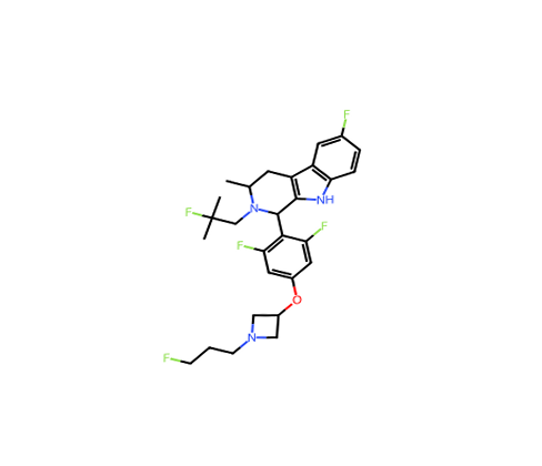 CC1Cc2c([nH]c3ccc(F)cc23)C(c2c(F)cc(OC3CN(CCCF)C3)cc2F)N1CC(C)(C)F